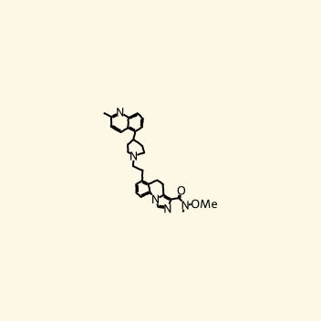 CON(C)C(=O)c1ncn2c1CCc1c(CCN3CCC(c4cccc5nc(C)ccc45)CC3)cccc1-2